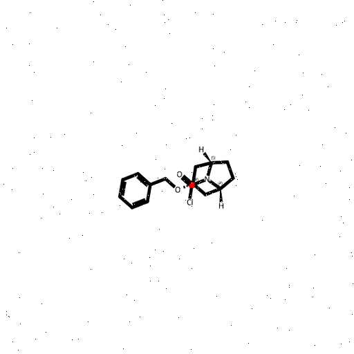 O=C(Cl)N1[C@@H]2CC[C@H]1C[C@@H](OCc1ccccc1)C2